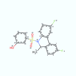 CC1c2ccc(F)cc2-c2cc(F)ccc2N1S(=O)(=O)c1cccc(O)c1